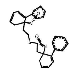 O=C=NC1(CCSCCC2(N=C=O)CC=CC=C2c2ccccc2)CC=CC=C1c1ccccc1